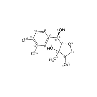 CC1(O)C(O)COC1[C@H](O)c1ccc(Cl)c(Cl)c1